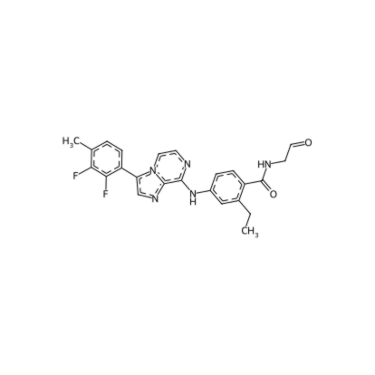 CCc1cc(Nc2nccn3c(-c4ccc(C)c(F)c4F)cnc23)ccc1C(=O)NCC=O